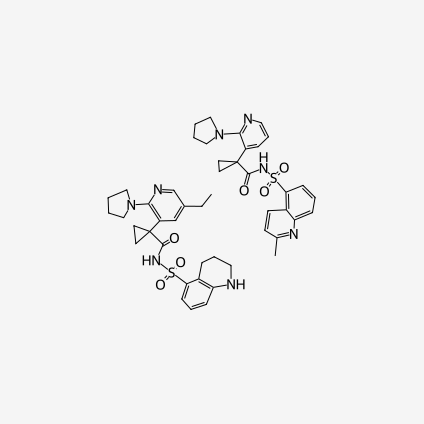 CCc1cnc(N2CCCC2)c(C2(C(=O)NS(=O)(=O)c3cccc4c3CCCN4)CC2)c1.Cc1ccc2c(S(=O)(=O)NC(=O)C3(c4cccnc4N4CCCC4)CC3)cccc2n1